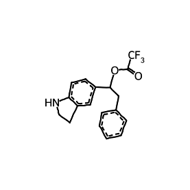 O=C(OC(Cc1ccccc1)c1ccc2c(c1)CCN2)C(F)(F)F